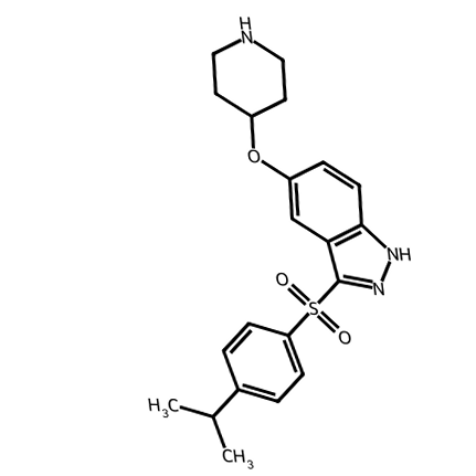 CC(C)c1ccc(S(=O)(=O)c2n[nH]c3ccc(OC4CCNCC4)cc23)cc1